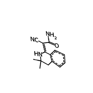 CC1(C)Cc2ccccc2C(=C(C#N)C(N)=O)N1